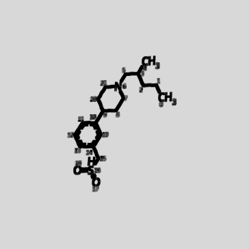 CCCC(C)CN1CCC(c2cccc(C[SH](=O)=O)c2)CC1